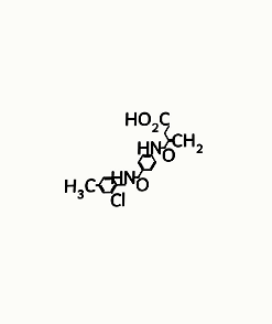 C=C(CCC(=O)O)C(=O)Nc1ccc(C(=O)NCc2ccc(C)cc2Cl)cc1